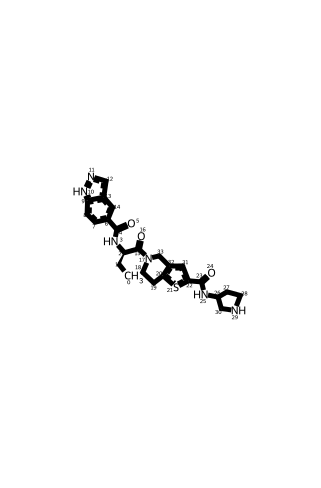 CC[C@@H](NC(=O)c1ccc2[nH]ncc2c1)C(=O)N1CCc2sc(C(=O)NC3CCNC3)cc2C1